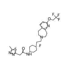 Cc1nnc(CC(=O)N[C@H]2CC[C@](F)(CCN3CCc4ccc(OCC(F)(F)F)nc4CC3)CC2)s1